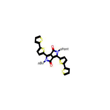 CCCCCN1C(=O)C2=C(c3ccc(-c4cccs4)s3)N(CCCC)C(=O)C2=C1c1ccc(-c2cccs2)s1